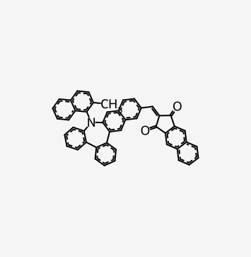 Cc1ccc2ccccc2c1N1c2ccccc2-c2ccccc2-c2cc3cc(C=C4C(=O)c5cc6ccccc6cc5C4=O)ccc3cc21